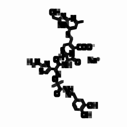 Cc1cc(SCC2=C(C(=O)[O-])N3C(=O)C(NC(=O)C(=NOC(C)(C)C(=O)NN=Cc4ccc(O)c(O)c4)c4csc(N)n4)[C@@H]3SC2)n2nc(CO)nc2n1.[Na+]